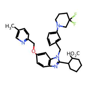 Cc1ccc(COc2ccc3nc(C4CCCCC4C(=O)O)n(Cc4cccc(N5CCCC(F)(F)C5)c4)c3c2)nc1